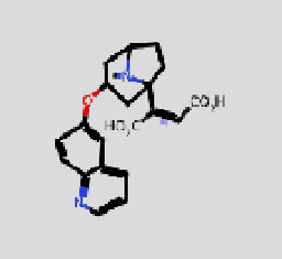 CN1C2CCC1(/C(=C\C(=O)O)C(=O)O)CC(Oc1ccc3ncccc3c1)C2